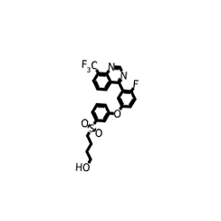 O=S(=O)(CCCCO)c1cccc(Oc2ccc(F)c(-c3ncnc4c(C(F)(F)F)cccc34)c2)c1